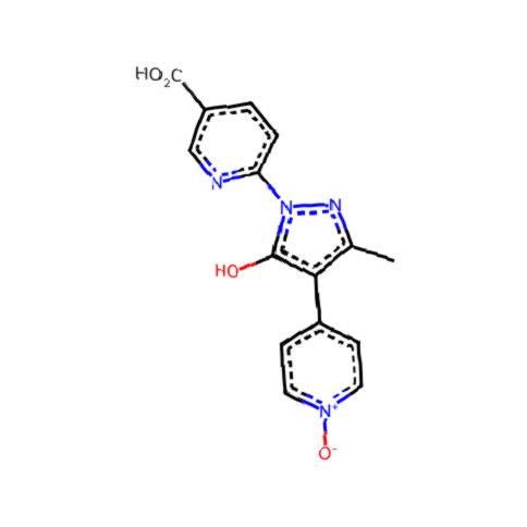 Cc1nn(-c2ccc(C(=O)O)cn2)c(O)c1-c1cc[n+]([O-])cc1